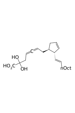 CCCCCCCCC=C[C@H]1C=CC[C@@H]1CC=C=CCC(O)(O)C(=O)O